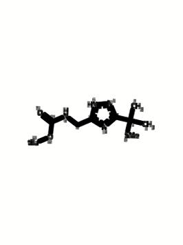 CSC(C)(C)c1n[nH]c(CNC(=O)OC(C)(C)C)n1